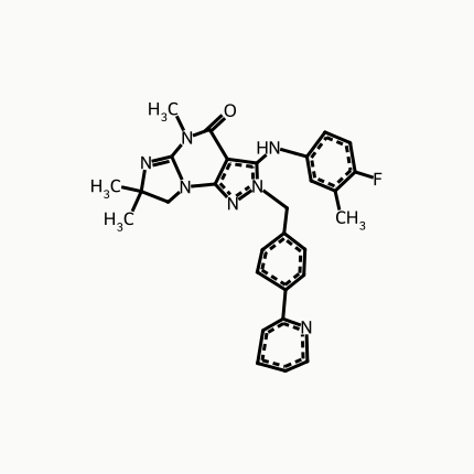 Cc1cc(Nc2c3c(nn2Cc2ccc(-c4ccccn4)cc2)N2CC(C)(C)N=C2N(C)C3=O)ccc1F